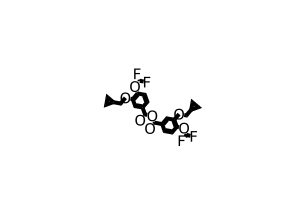 O=C(OC(=O)c1ccc(OC(F)F)c(OCC2CC2)c1)c1ccc(OC(F)F)c(OCC2CC2)c1